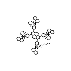 CCCCCCC1(C)CN(c2cccc3ccccc23)c2ccc(-c3cc(-c4ccc5c(c4)C4(C)CCCCC4(C)N5c4cccc5ccccc45)c4ccc5c(-c6ccc7c(c6)C6(C)CCCCC6(C)N7c6cccc7ccccc67)cc(-c6ccc7c(c6)C6(C)CCCCC6(C)N7c6cccc7ccccc67)c6ccc3c4c65)cc21